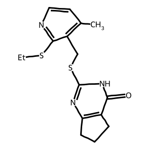 CCSc1nccc(C)c1CSc1nc2c(c(=O)[nH]1)CCC2